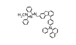 C=N/C(=N\C(=N/Cc1ccc2c(c1)Cc1cccc(-c3ccc(N(c4ccccc4)c4cccc5ccccc45)cc3)c1-2)c1ccccc1)c1ccccc1